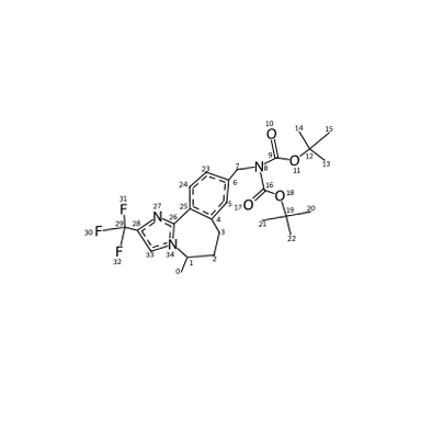 CC1CCc2cc(CN(C(=O)OC(C)(C)C)C(=O)OC(C)(C)C)ccc2-c2nc(C(F)(F)F)cn21